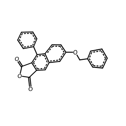 O=C1OC(=O)c2c1cc1cc(OCc3ccccc3)ccc1c2-c1ccccc1